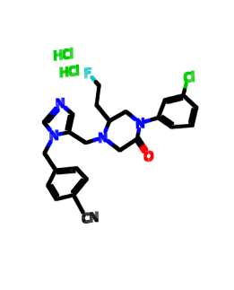 Cl.Cl.N#Cc1ccc(Cn2cncc2CN2CC(=O)N(c3cccc(Cl)c3)CC2CCF)cc1